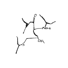 CC(C)NC(C(=O)C(C)C)C(O)CSC(C)C